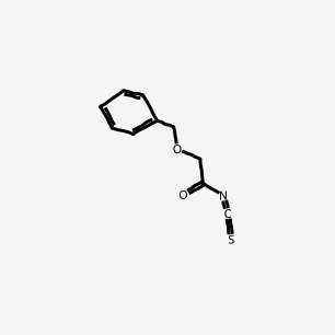 O=C(COCc1ccccc1)N=C=S